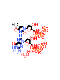 Cc1cn([C@H]2C[C@H](O)[C@@H](COP(=O)(O)OP(=O)(O)OP(=O)(O)O)O2)c(=O)[nH]c1=O.Nc1nc2c(ncn2[C@H]2C[C@H](O)[C@@H](COP(=O)(O)OP(=O)(O)OP(=O)(O)O)O2)c(=O)[nH]1.O